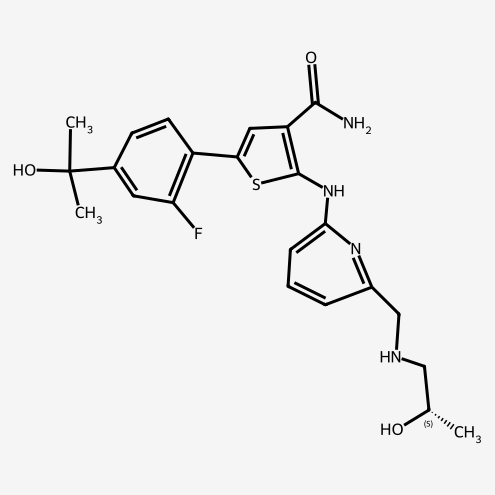 C[C@H](O)CNCc1cccc(Nc2sc(-c3ccc(C(C)(C)O)cc3F)cc2C(N)=O)n1